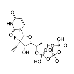 C#CC1(F)[C@@H](O)[C@@H]([C@@H](C)OP(=O)(O)OP(=O)(O)OP(=O)(O)O)O[C@H]1n1ccc(=O)[nH]c1=O